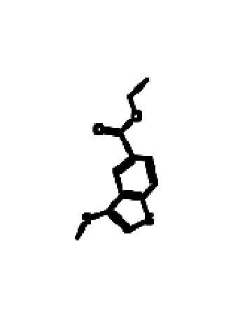 CCOC(=O)c1ccc2scc(SC)c2c1